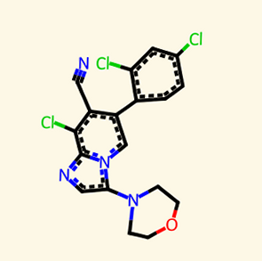 N#Cc1c(-c2ccc(Cl)cc2Cl)cn2c(N3CCOCC3)cnc2c1Cl